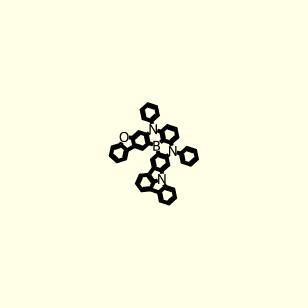 c1ccc(N2c3cc4oc5ccccc5c4cc3B3c4cc5c6cccc7c8ccccc8n(c5cc4N(c4ccccc4)c4cccc2c43)c76)cc1